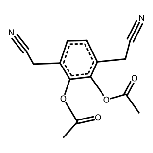 CC(=O)Oc1c(CC#N)ccc(CC#N)c1OC(C)=O